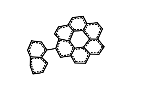 c1ccc2c(-c3cc4ccc5ccc6ccc7ccc8ccc3c3c8c7c6c5c43)cccc2c1